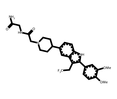 COc1ccc(-c2[nH]c3ccc(C4CCN(CC(=O)NCC(N)=O)CC4)cc3c2CC(F)(F)F)cc1OC